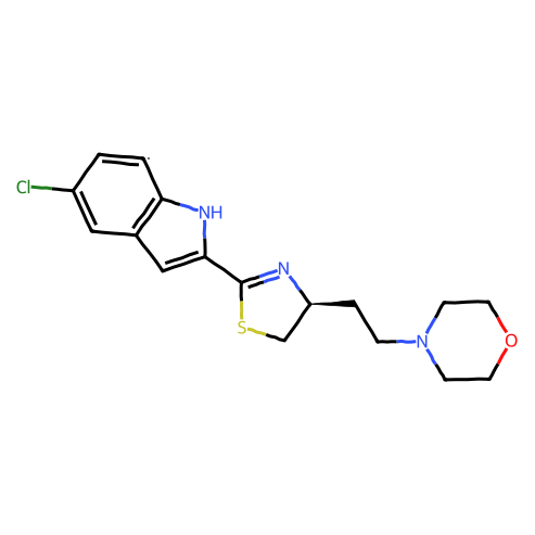 Clc1c[c]c2[nH]c(C3=N[C@@H](CCN4CCOCC4)CS3)cc2c1